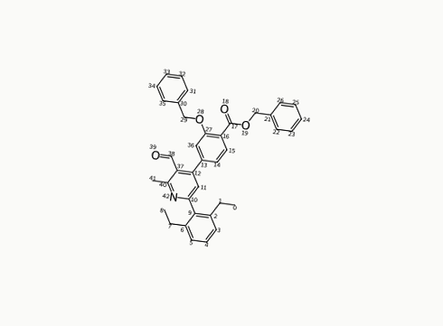 CCc1cccc(CC)c1-c1cc(-c2ccc(C(=O)OCc3ccccc3)c(OCc3ccccc3)c2)c(C=O)c(C)n1